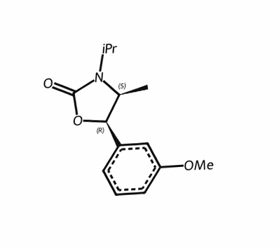 COc1cccc([C@H]2OC(=O)N(C(C)C)[C@H]2C)c1